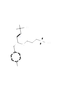 CC(C)(C)/C=C/[C@H](Cc1ccc(F)cc1)NCCCS(=O)(=O)O